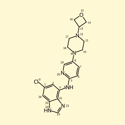 Clc1cc(Nc2ccc(N3CCN(C4COC4)CC3)cn2)c2nc[nH]c2c1